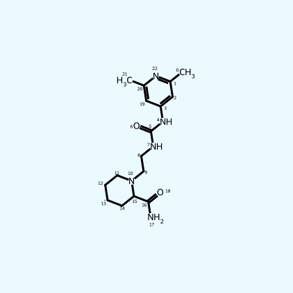 Cc1cc(NC(=O)NCCN2CC[CH]CC2C(N)=O)cc(C)n1